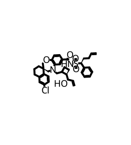 C=CCC[C@@H](c1ccccc1)S(=O)(=O)NC(=O)c1ccc2c(c1)N(CC1CC[C@H]1[C@@H](O)C=C)C[C@@]1(CCCc3cc(Cl)ccc31)CO2